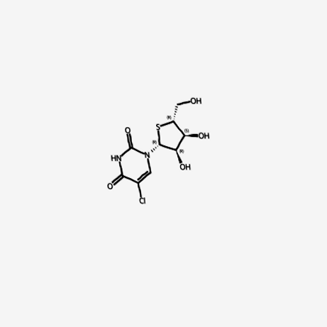 O=c1[nH]c(=O)n([C@@H]2S[C@H](CO)[C@@H](O)[C@H]2O)cc1Cl